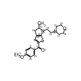 CCOc1ccc(C(=O)c2cc3c(s2)N(CCN2CCOCC2)C(C)C3)cc1